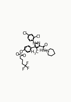 Cc1c(C(=O)NN2CCCCC2)nn(-c2ccc(Cl)cc2Cl)c1-c1ccc(OS(=O)(=O)CCCC(F)(F)F)cc1